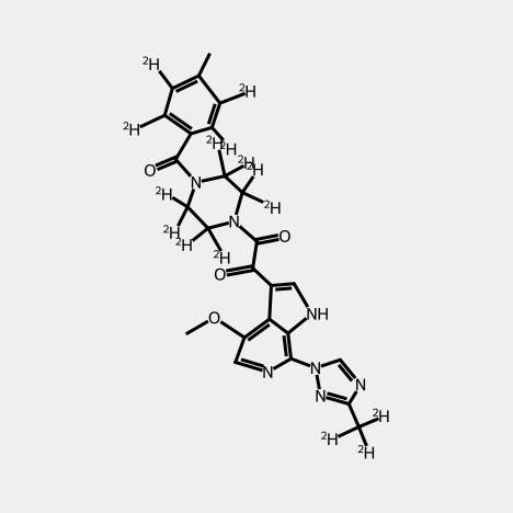 [2H]c1c([2H])c(C(=O)N2C([2H])([2H])C([2H])([2H])N(C(=O)C(=O)c3c[nH]c4c(-n5cnc(C([2H])([2H])[2H])n5)ncc(OC)c34)C([2H])([2H])C2([2H])[2H])c([2H])c([2H])c1C